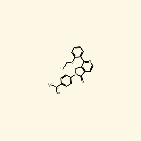 O=C1c2ccnc(-c3ccccc3OCC(F)(F)F)c2CN1c1ccc([C@@H](O)C(F)(F)F)nc1